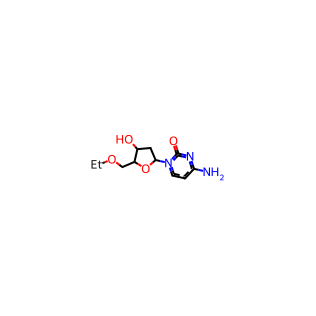 CCOCC1OC(n2ccc(N)nc2=O)CC1O